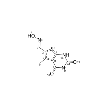 Cc1c(C=NO)sc2c1C(=O)[N]C(=O)N2